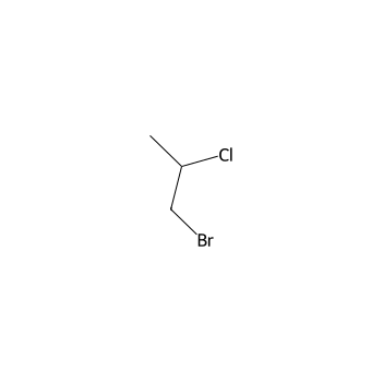 CC(Cl)CBr